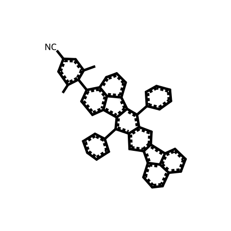 Cc1cc(C#N)cc(C)c1-c1ccc2c3c(-c4ccccc4)c4cc5c(cc4c(-c4ccccc4)c3c3cccc1c32)c1cccc2cccc5c21